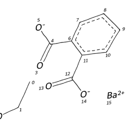 CCO.O=C([O-])c1ccccc1C(=O)[O-].[Ba+2]